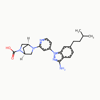 CC(C)CCc1ccc2c(N)nn(-c3ccnc(N4C[C@@H]5C[C@H]4CN5C(=O)O)c3)c2c1